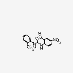 O=C(Nc1ccc([N+](=O)[O-])cc1O)Nc1ccccc1C(F)(F)F